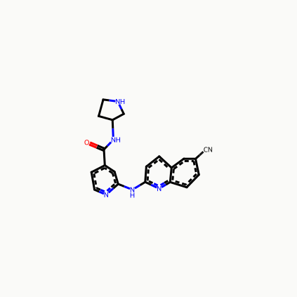 N#Cc1ccc2nc(Nc3cc(C(=O)NC4CCNC4)ccn3)ccc2c1